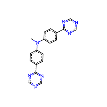 CN(c1ccc(-c2ncncn2)cc1)c1ccc(-c2ncncn2)cc1